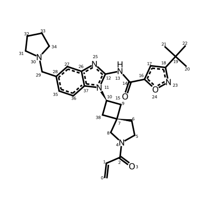 C=CC(=O)N1CC[C@]2(C1)C[C@H](n1c(NC(=O)c3cc(C(C)(C)C)no3)nc3cc(CN4CCCC4)ccc31)C2